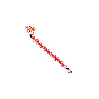 COCCOOOOOOOOOOOOOOOOOOO/C=C\OS(=O)(=O)O